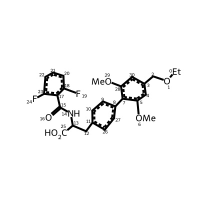 CCOCc1cc(OC)c(-c2ccc(CC(NC(=O)c3c(F)cccc3F)C(=O)O)cc2)c(OC)c1